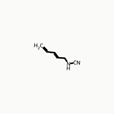 C=C/C=C/CNC#N